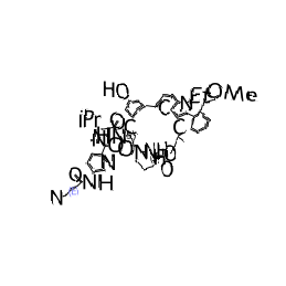 CCn1c(-c2ccccc2CCOC)c2c3cc(ccc31)-c1cc(O)cc(c1)C[C@H](NC(=O)C(C(C)C)N(C)C(=O)c1ccc(NC(=O)/C=C/CN(C)C)cn1)C(=O)N1CCC[C@H](N1)C(=O)OCC(C)(C)C2